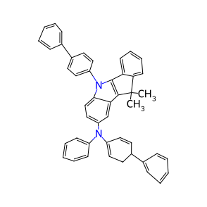 CC1(C)c2ccccc2-c2c1c1cc(N(C3=CCC(c4ccccc4)C=C3)c3ccccc3)ccc1n2-c1ccc(-c2ccccc2)cc1